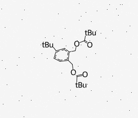 CC(C)(C)C(=O)OCc1ccc(C(C)(C)C)cc1COC(=O)C(C)(C)C